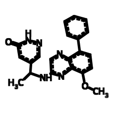 COc1ccc(-c2ccccc2)c2ncc(NC(C)c3cn[nH]c(=O)c3)nc12